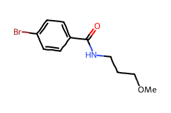 COCCCNC(=O)c1ccc(Br)cc1